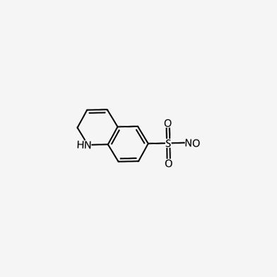 O=NS(=O)(=O)c1ccc2c(c1)C=CCN2